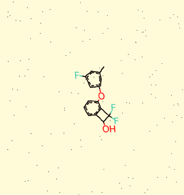 Cc1cc(F)cc(Oc2cccc3c2C(F)(F)C3O)c1